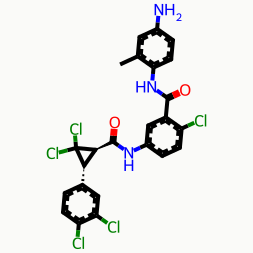 Cc1cc(N)ccc1NC(=O)c1cc(NC(=O)[C@H]2[C@H](c3ccc(Cl)c(Cl)c3)C2(Cl)Cl)ccc1Cl